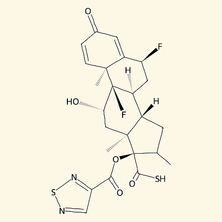 CC1C[C@H]2[C@@H]3C[C@H](F)C4=CC(=O)C=C[C@]4(C)[C@@]3(F)[C@@H](O)C[C@]2(C)[C@@]1(OC(=O)c1cnsn1)C(=O)S